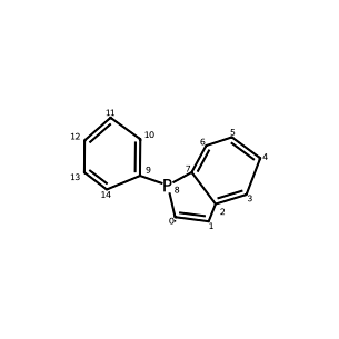 [c]1cc2ccccc2p1-c1ccccc1